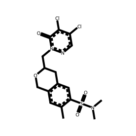 Cc1cc2c(cc1S(=O)(=O)N(C)C)CC(Cn1ncc(Cl)c(Cl)c1=O)OC2